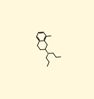 CCCN(CCC)C1CCc2cccc(C)c2C1